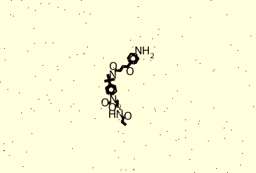 CCC(=O)NC[C@H]1CN(c2ccc(C3(C)CN(C(=O)CCC(=O)c4ccc(N)cc4)C3)cc2)C(=O)O1